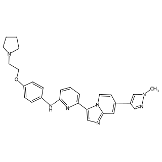 Cn1cc(-c2ccn3c(-c4cccc(Nc5ccc(OCCN6CCCC6)cc5)n4)cnc3c2)cn1